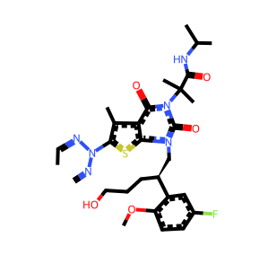 C=NN(/N=C\C)c1sc2c(c1C)c(=O)n(C(C)(C)C(=O)NC(C)C)c(=O)n2C[C@H](CCCO)c1cc(F)ccc1OC